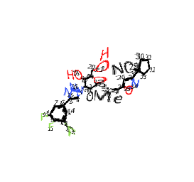 CO[C@@H]1[C@@H](n2cc(-c3cc(F)c(F)c(F)c3)nn2)[C@@H](O)[C@@H](CO)O[C@@H]1Cc1cc(C2(C#N)CCCC2)no1